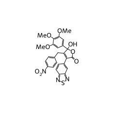 COc1cc(C2(O)OC(=O)C(c3ccc4nsnc4c3)=C2Cc2ccc([N+](=O)[O-])cc2)cc(OC)c1OC